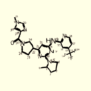 CC1CCCN1c1nc(Nc2cc(C(F)(F)F)ccn2)cc(C2CCN(C(=O)c3cn(C)cn3)C2)n1